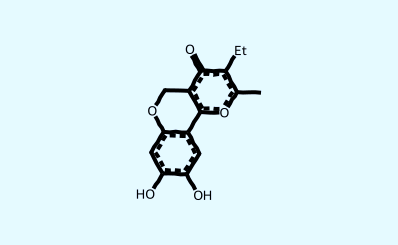 CCc1c(C)oc2c(c1=O)COc1cc(O)c(O)cc1-2